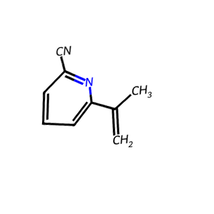 C=C(C)c1cccc(C#N)n1